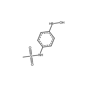 CS(=O)(=O)Nc1ccc(BO)cc1